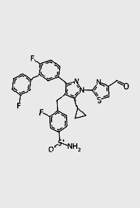 N[S+]([O-])c1ccc(Cc2c(-c3ccc(F)c(-c4cccc(F)c4)c3)nn(-c3nc(C=O)cs3)c2C2CC2)c(F)c1